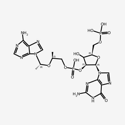 C[C@@H](COP(=O)(O)O[C@H]1C(O)[C@@H](COP(=O)(O)O)O[C@H]1n1cnc2c(=O)[nH]c(N)nc21)O[C@H](C)n1cnc2c(N)ncnc21